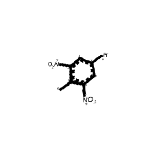 Cc1c([N+](=O)[O-])cc(C(C)C)cc1[N+](=O)[O-]